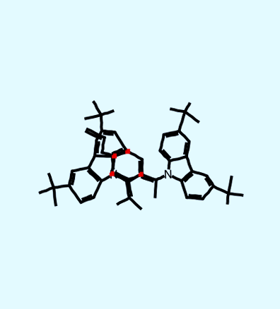 C=CCC(/C=C\C=C(/C)n1c2ccc(C(C)(C)C)cc2c2cc(C(C)(C)C)ccc21)C/C=C\C(=C(C)C)n1c2ccc(C(C)(C)C)cc2c2cc(C(C)(C)C)ccc21